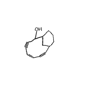 OC1C#CC=CC#CC2CCCC1C2